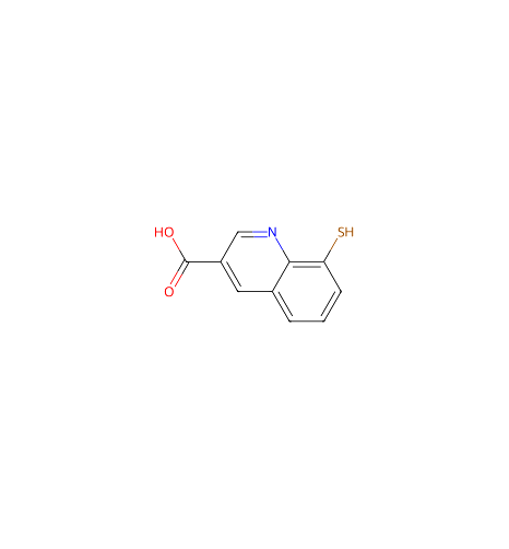 O=C(O)c1cnc2c(S)cccc2c1